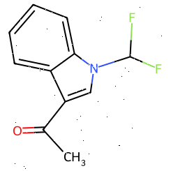 CC(=O)c1cn(C(F)F)c2ccccc12